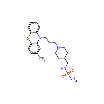 NS(=O)(=O)NCC1CCN(CCCN2c3ccccc3Sc3ccc(C(F)(F)F)cc32)CC1